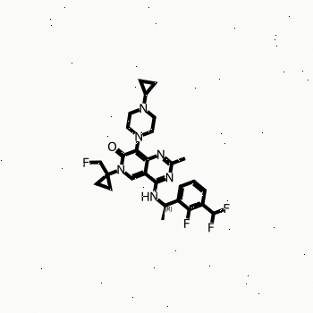 Cc1nc(N[C@H](C)c2cccc(C(F)F)c2F)c2cn(C3(CF)CC3)c(=O)c(N3CCN(C4CC4)CC3)c2n1